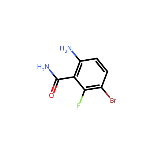 NC(=O)c1c(N)ccc(Br)c1F